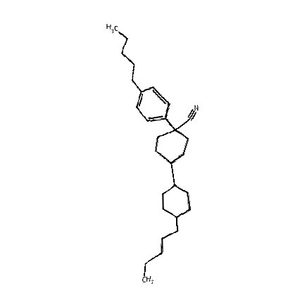 CCCCCc1ccc(C2(C#N)CCC(C3CCC(CCCCC)CC3)CC2)cc1